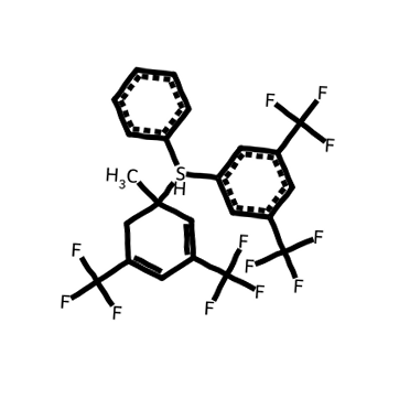 CC1([SH](c2ccccc2)c2cc(C(F)(F)F)cc(C(F)(F)F)c2)C=C(C(F)(F)F)C=C(C(F)(F)F)C1